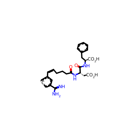 N=C(N)c1cccc(/C=C\CCCC(=O)N[C@@H](CC(=O)O)C(=O)N[C@@H](Cc2ccccc2)C(=O)O)c1